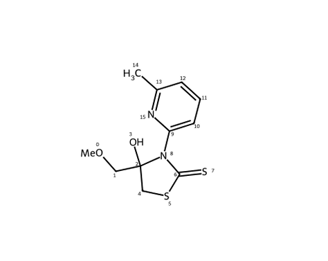 COCC1(O)CSC(=S)N1c1cccc(C)n1